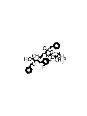 C[C@H](O)[C@H](OCc1ccccc1)[C@H](CCC[C@H](NC(=O)OC(C)(C)C)C(=O)OCc1ccccc1)Cc1ccc(F)cc1F